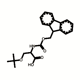 CC(C)(C)OCC(NC(=O)OCC1c2ccccc2-c2ccccc21)C(=O)O